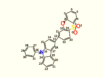 O=S1(=O)c2ccccc2Oc2cc(-c3ccc4c(c3)c3ccccc3n4-c3ccccc3)ccc21